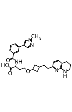 Cn1cc(-c2cccc(C(=O)NC(CCOC3CC(CCc4ccc5c(n4)NCCC5)C3)C(=O)O)c2)cn1